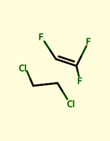 ClCCCl.FC=C(F)F